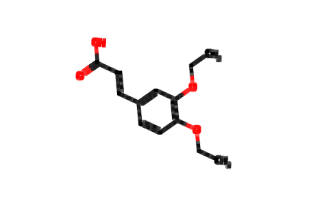 CCOc1ccc(/C=C/C(=O)O)cc1OCC